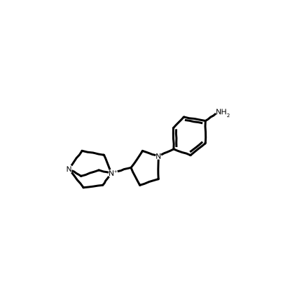 Nc1ccc(N2CCC([N+]34CCN(CC3)CC4)C2)cc1